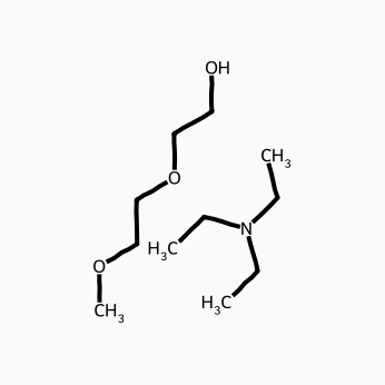 CCN(CC)CC.COCCOCCO